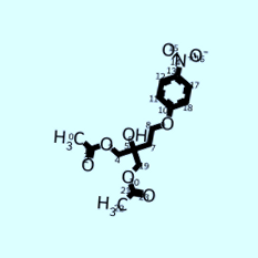 CC(=O)OCC(O)(CCOc1ccc([N+](=O)[O-])cc1)COC(C)=O